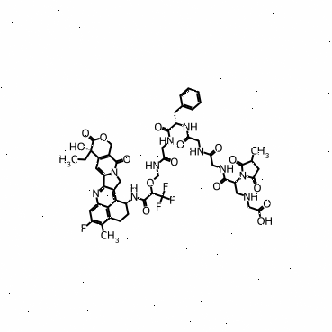 CC[C@@]1(O)C(=O)OCc2c1cc1n(c2=O)Cc2c-1nc1cc(F)c(C)c3c1c2[C@@H](NC(=O)C(OCNC(=O)CNC(=O)[C@H](Cc1ccccc1)NC(=O)CNC(=O)CNC(=O)C(CNCC(=O)O)N1C(=O)CC(C)C1=O)C(F)(F)F)CC3